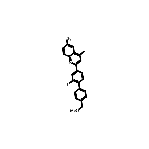 COCc1ccc(-c2ccc(-c3cc(C)c4cc(C(F)(F)F)ccc4n3)cc2F)cc1